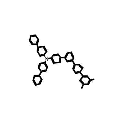 Cc1cc(C)cc(-c2ccc(-c3cccc(-c4ccc(N(c5ccc(-c6ccccc6)cc5)c5ccc(-c6ccccc6)cc5)cc4)c3)cc2)c1